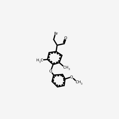 COc1cccc(Oc2c(C)cc(C(C=O)CBr)cc2C)c1